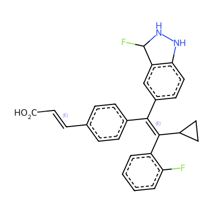 O=C(O)/C=C/c1ccc(/C(=C(\c2ccccc2F)C2CC2)c2ccc3c(c2)C(F)NN3)cc1